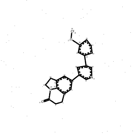 O=C1CCc2cc(-c3cncc(-c4cccc(OC(F)(F)F)c4)c3)cc3c2N1CC3